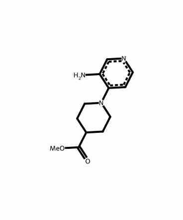 COC(=O)C1CCN(c2ccncc2N)CC1